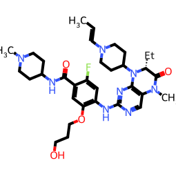 CC=CN1CCC(N2c3nc(Nc4cc(F)c(C(=O)NC5CCN(C)CC5)cc4OCCCO)ncc3N(C)C(=O)[C@H]2CC)CC1